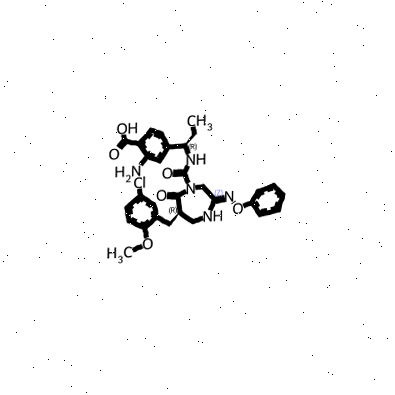 CC[C@@H](NC(=O)N1C/C(=N/Oc2ccccc2)NC[C@@H](Cc2cc(Cl)ccc2OC)C1=O)c1ccc(C(=O)O)c(N)c1